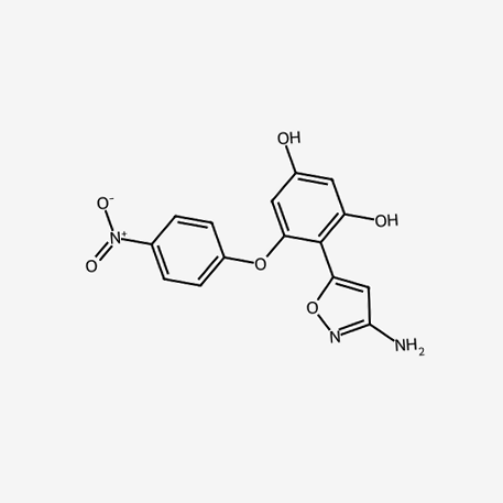 Nc1cc(-c2c(O)cc(O)cc2Oc2ccc([N+](=O)[O-])cc2)on1